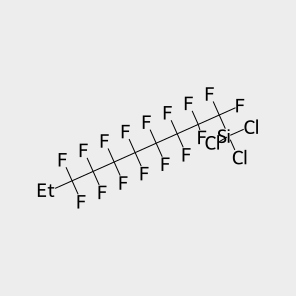 CCC(F)(F)C(F)(F)C(F)(F)C(F)(F)C(F)(F)C(F)(F)C(F)(F)C(F)(F)[Si](Cl)(Cl)Cl